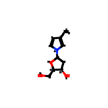 O=[N+]([O-])c1ccn(C2[CH][C@H](O)[C@@H](CO)O2)c1